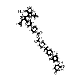 CC(C)(C1CCN(c2c(F)cc(N[C@H]3CCC(=O)NC3=O)cc2F)CC1)N1CCN(C(=O)COC(=O)N2CCN(c3cnc(-c4c(-c5nn(C(C)(C)C)c6ncnc(N)c56)noc4C4CC4)nc3)CC2)CC1